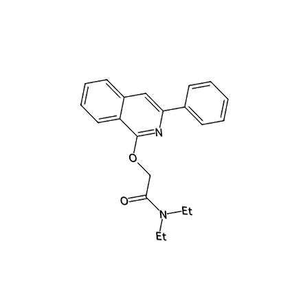 CCN(CC)C(=O)COc1nc(-c2ccccc2)cc2ccccc12